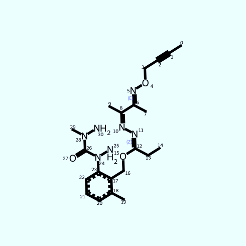 CC#CCO/N=C(\C)C(C)=N/N=C(/CC)OCc1c(C)cccc1N(N)C(=O)N(C)N